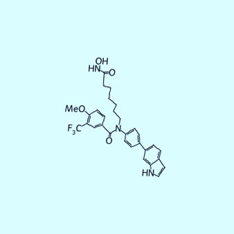 COc1ccc(C(=O)N(CCCCCCC(=O)NO)c2ccc(-c3ccc4cc[nH]c4c3)cc2)cc1C(F)(F)F